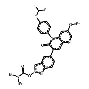 CCOc1cnc2cc(-c3ccc4nn(OC(=O)N(CC)C(C)C)cc4c3)c(=O)n(-c3ccc(OC(F)F)cc3)c2c1